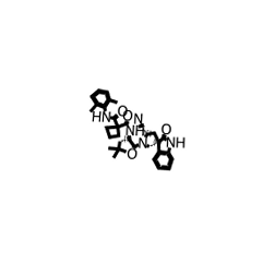 Cc1cccc(C)c1NC(=O)C1(C(=O)N[C@@H](CC(C)(C)C)C(=O)N2C[C@]3(C[C@H]2C#N)C(=O)Nc2ccccc23)CCC1